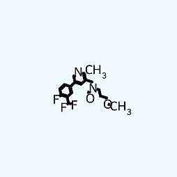 COCCCN(C=O)Cc1cc(-c2ccc(F)c(C(F)F)c2)cnc1C